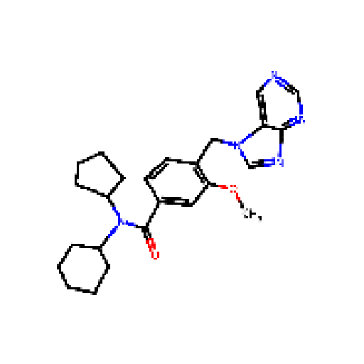 COc1cc(C(=O)N(C2CCCCC2)C2CCCC2)ccc1Cn1cnc2ncncc21